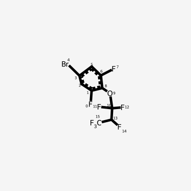 Fc1cc(Br)cc(F)c1OC(F)(F)C(F)C(F)(F)F